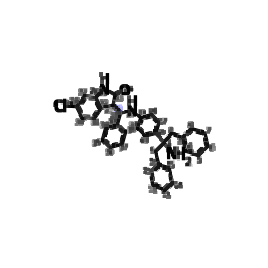 NC(Cc1ccccc1)(Cc1ccccc1)c1ccc(N/C(=C2\C(=O)Nc3cc(Cl)ccc32)c2ccccc2)cc1